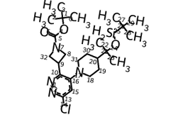 CC(C)(C)OC(=O)N1CC(c2nnc(Cl)cc2N2CCC(C(C)(C)O[SiH2]C(C)(C)C)CC2)C1